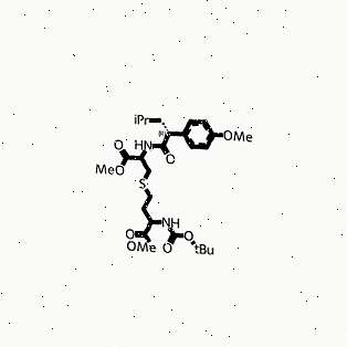 COC(=O)C(CCSCC(NC(=O)[C@H](CC(C)C)c1ccc(OC)cc1)C(=O)OC)NC(=O)OC(C)(C)C